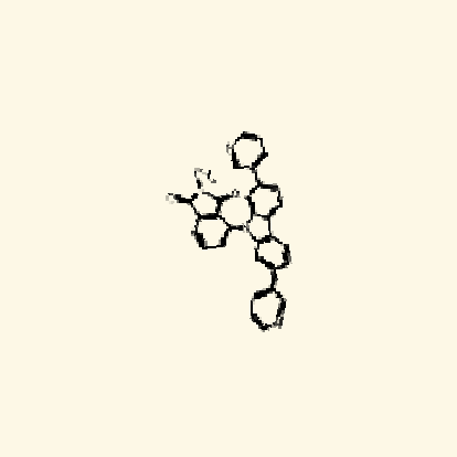 CN1C(=O)c2cccc(-n3c4cc(-c5cccnc5)ccc4c4ccc(-c5cccnc5)cc43)c2C1=O